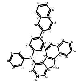 c1ccc(N(c2ccc(-c3ccc4ccccc4c3)cc2)c2cncc3sc4c5ccccc5ccc4c23)cc1